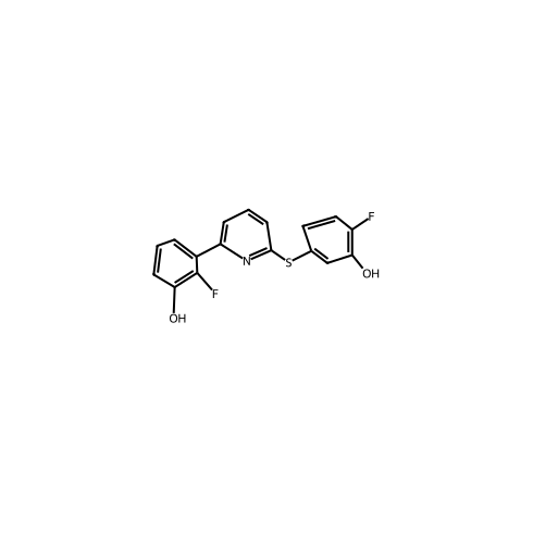 Oc1cc(Sc2cccc(-c3cccc(O)c3F)n2)ccc1F